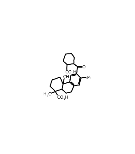 CC(C)c1cc2c(cc1C(=O)C1CCCCC1C(=O)O)C1(C)CCCC(C)(C(=O)O)C1CC2